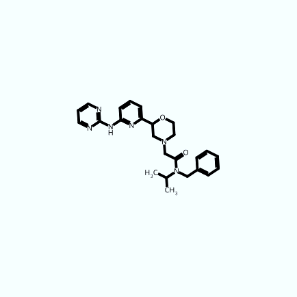 CC(C)N(Cc1ccccc1)C(=O)CN1CCOC(c2cccc(Nc3ncccn3)n2)C1